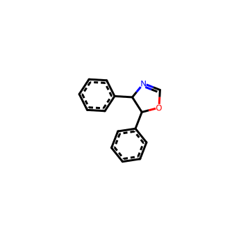 C1=NC(c2ccccc2)C(c2ccccc2)O1